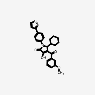 COc1cccc(C(=O)C2=C(O)C(=O)N(c3ccc(-c4ccon4)cc3)C2C2CCCCC2)c1